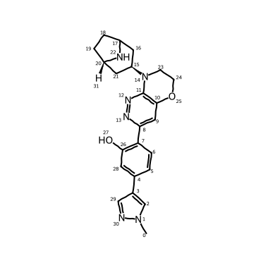 Cn1cc(-c2ccc(-c3cc4c(nn3)N([C@@H]3CC5CC[C@@H](C3)N5)CCO4)c(O)c2)cn1